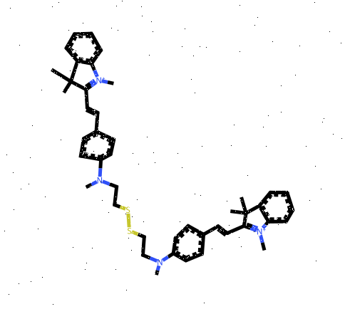 CN(CCSSCCN(C)c1ccc(/C=C/C2=[N+](C)c3ccccc3C2(C)C)cc1)c1ccc(/C=C/C2=[N+](C)c3ccccc3C2(C)C)cc1